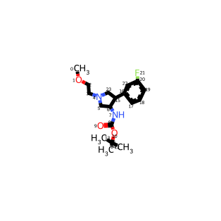 COCCN1CC(NC(=O)OC(C)(C)C)C(c2cccc(F)c2)C1